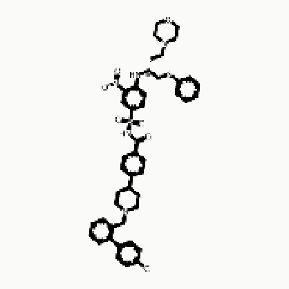 O=C(NS(=O)(=O)c1ccc(N[C@H](CCN2CCOCC2)CSc2ccccc2)c([N+](=O)[O-])c1)c1ccc(C2CCN(Cc3ccccc3-c3ccc(Cl)cc3)CC2)cc1